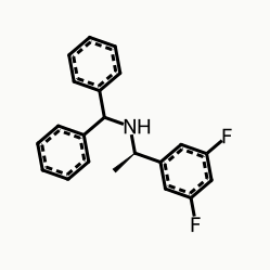 C[C@@H](NC(c1ccccc1)c1ccccc1)c1cc(F)cc(F)c1